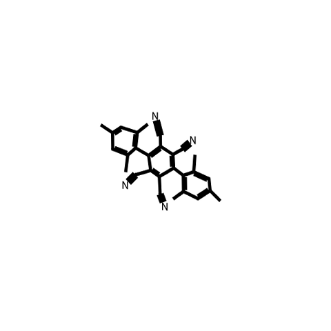 Cc1cc(C)c(-c2c(C#N)c(C#N)c(-c3c(C)cc(C)cc3C)c(C#N)c2C#N)c(C)c1